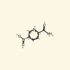 NC(=O)c1ccc([N+](=O)[O-])cn1